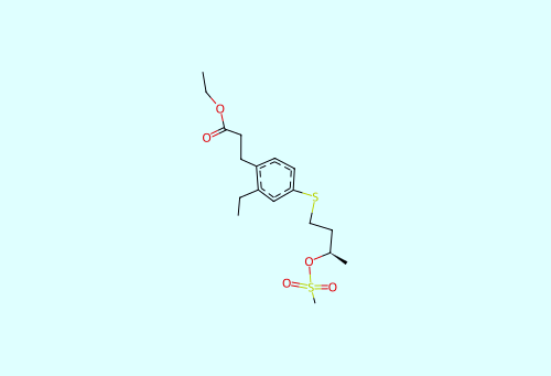 CCOC(=O)CCc1ccc(SCC[C@@H](C)OS(C)(=O)=O)cc1CC